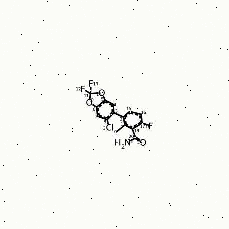 Cc1c(-c2cc3c(cc2Cl)OC(F)(F)O3)ccc(F)c1C(N)=O